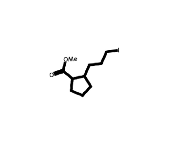 COC(=O)C1CCCC1CCCI